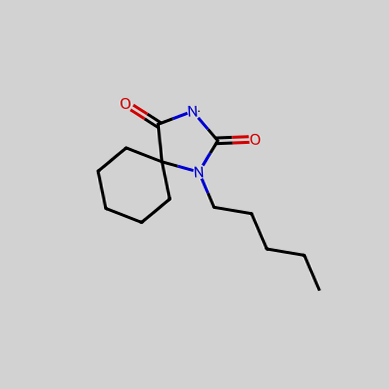 CCCCCN1C(=O)[N]C(=O)C12CCCCC2